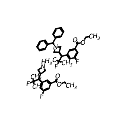 CCOC(=O)c1cc(F)cc(C(C2CN(C(c3ccccc3)c3ccccc3)C2)C(C)(C)F)c1.CCOC(=O)c1cc(F)cc(C(C2CNC2)C(C)(C)F)c1